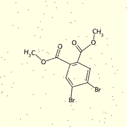 COC(=O)c1cc(Br)c(Br)cc1C(=O)OC